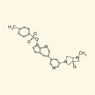 Cc1ccc(S(=O)(=O)On2ccc3cc(-c4cncc(N5CC6[C@@H](C5)CN6C)c4)cnc32)cc1